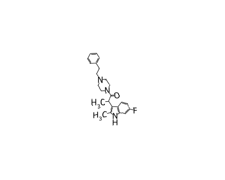 Cc1[nH]c2cc(F)ccc2c1C(C)C(=O)N1CCN(CCc2ccccc2)CC1